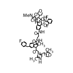 CN[C@@H](C)C(=O)NC(C(=O)N1Cc2ccc(NC(=O)CCNC(=O)[C@]3(C)CC(C(=O)CN4C[C@@H](C)NC[C@@H]4CN4CCOC[C@H]4C)c4cc(Cc5ccc(F)cc5)ccc43)cc2[C@H]1C(=O)Nc1c(F)cccc1F)C1CCOCC1